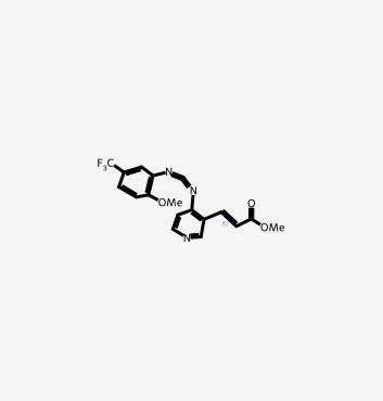 COC(=O)/C=C/c1cnccc1N=C=Nc1cc(C(F)(F)F)ccc1OC